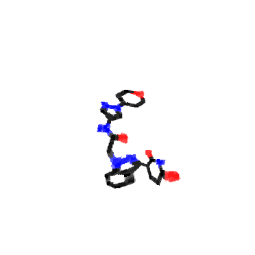 O=C1CCC(c2nn(CC(=O)Nc3cnn(C4CCOCC4)c3)c3ccccc23)C(=O)N1